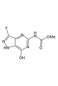 COC(=O)Nc1nc(O)c2[nH]nc(F)c2n1